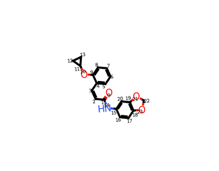 O=C(/C=C\c1ccccc1OC1CC1)Nc1ccc2c(c1)OCO2